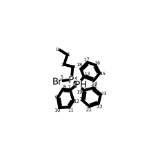 CCCCP(Br)[PH](c1ccccc1)(c1ccccc1)c1ccccc1